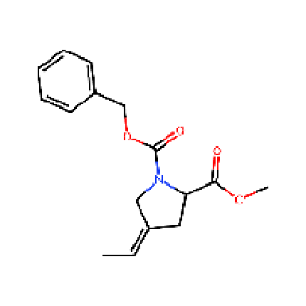 C/C=C1/CC(C(=O)OC)N(C(=O)OCc2ccccc2)C1